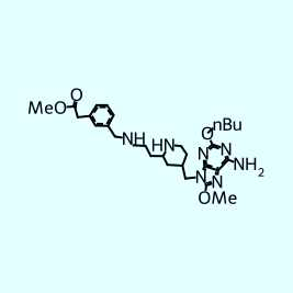 CCCCOc1nc(N)c2nc(OC)n(CC3CCNC(CCCNCc4cccc(CC(=O)OC)c4)C3)c2n1